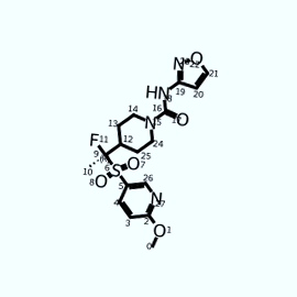 COc1ccc(S(=O)(=O)[C@@](C)(F)C2CCN(C(=O)Nc3ccon3)CC2)cn1